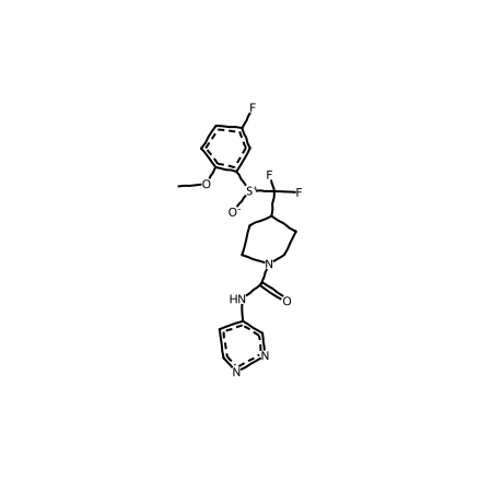 COc1ccc(F)cc1[S+]([O-])C(F)(F)C1CCN(C(=O)Nc2ccnnc2)CC1